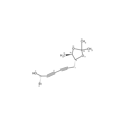 CC[C@H](O)C#CC#CC[C@H]1OC(C)(C)O[C@@H]1C